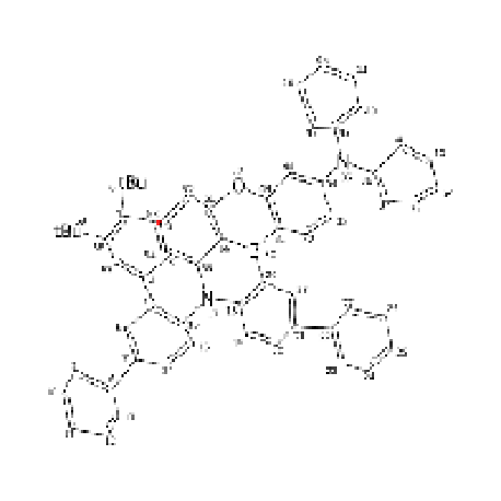 CC(C)(C)c1ccc(-c2cc(-c3ccccc3)ccc2N2c3ccc(-c4ccccc4)cc3B3c4ccc(N(c5ccccc5)c5ccccc5)cc4Oc4cccc2c43)cc1C(C)(C)C